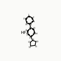 F.c1ccc(-c2ccc(C3CCCC3)cc2)cc1